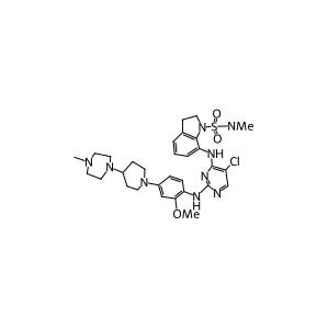 CNS(=O)(=O)N1CCc2cccc(Nc3nc(Nc4ccc(N5CCC(N6CCN(C)CC6)CC5)cc4OC)ncc3Cl)c21